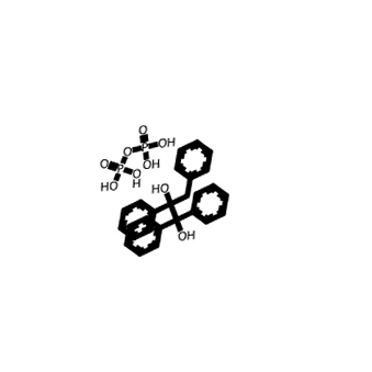 O=P(O)(O)OP(=O)(O)O.OC(Cc1ccccc1)(c1ccccc1)C(O)(c1ccccc1)c1ccccc1